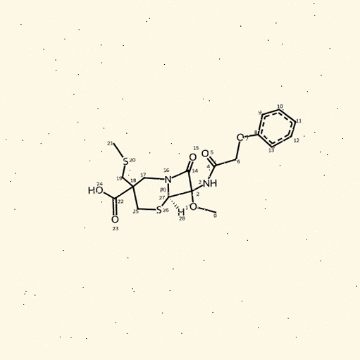 COC1(NC(=O)COc2ccccc2)C(=O)N2CC(CSC)(C(=O)O)CS[C@@H]21